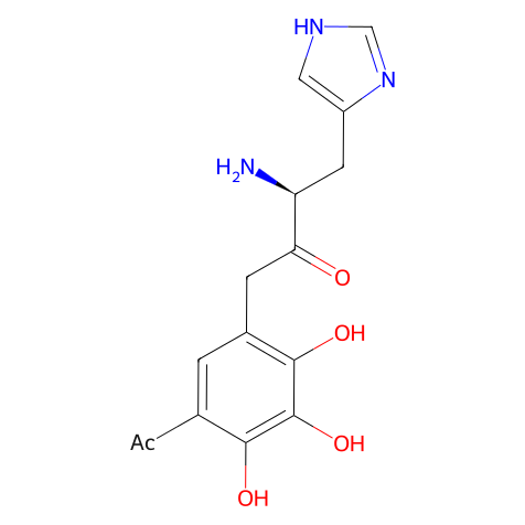 CC(=O)c1cc(CC(=O)[C@@H](N)Cc2c[nH]cn2)c(O)c(O)c1O